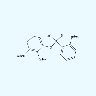 CCCCCCc1ccccc1P(O)(=S)Oc1cccc(CCCCCC)c1CCCCCC